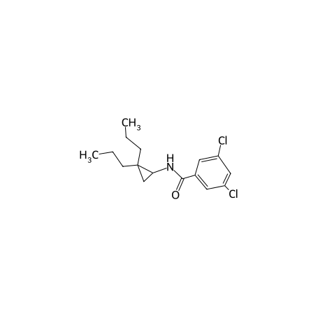 CCCC1(CCC)CC1NC(=O)c1cc(Cl)cc(Cl)c1